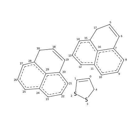 C1=CSSC1.C1=Cc2cccc3cccc(c23)C1.C1=Cc2cccc3cccc(c23)C1